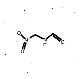 O=CNC[N+](=O)[O-]